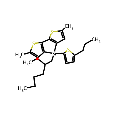 CCCCC(CC)C[Si]1(c2ccc(CCC)s2)c2cc(C)sc2-c2sc(C)cc21